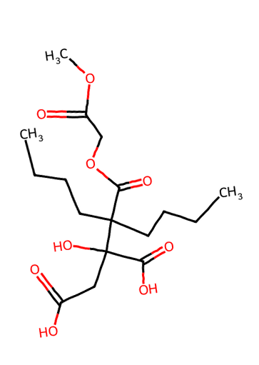 CCCCC(CCCC)(C(=O)OCC(=O)OC)C(O)(CC(=O)O)C(=O)O